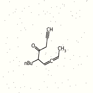 C#CCC(=O)C(C=C=CC)CCCC